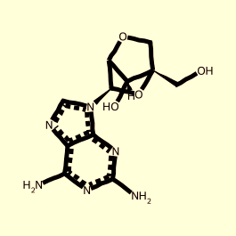 Nc1nc(N)c2ncn([C@@H]3O[C@@]4(CO)COC3[C@H]4O)c2n1